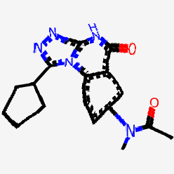 CC(=O)N(C)c1ccc2c(c1)c(=O)[nH]c1nnc(C3CCCC3)n12